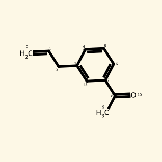 C=CCc1[c]ccc(C(C)=O)c1